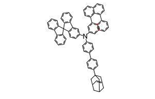 C1=C2CC3CC1CC(c1ccc(-c4ccc(N(c5cccc(-c6cccc7cccc(-c8ccccc8)c67)c5)c5ccc6c(c5)-c5ccccc5C65c6ccccc6-c6ccccc65)cc4)cc1)(C2)C3